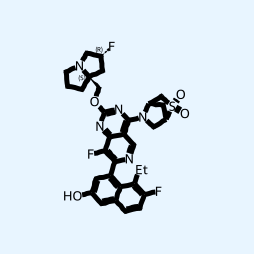 CCc1c(F)ccc2cc(O)cc(-c3ncc4c(N5CC6CC5CS6(=O)=O)nc(OC[C@@]56CCCN5C[C@H](F)C6)nc4c3F)c12